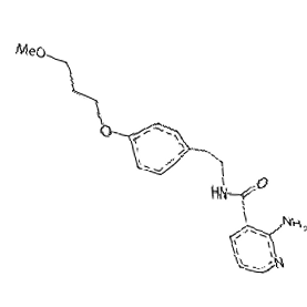 COCCCOc1ccc(CNC(=O)c2cccnc2N)cc1